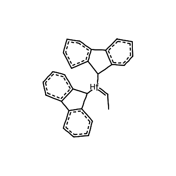 C[CH]=[Hf]([CH]1c2ccccc2-c2ccccc21)[CH]1c2ccccc2-c2ccccc21